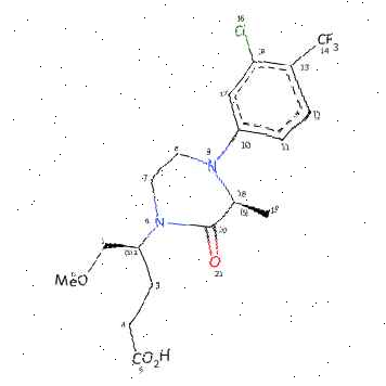 COC[C@H](CCC(=O)O)N1CCN(c2ccc(C(F)(F)F)c(Cl)c2)[C@@H](C)C1=O